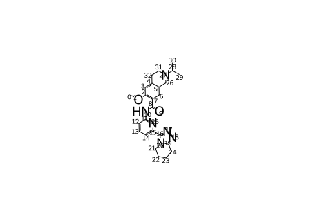 COc1cc2c(cc1C(=O)Nc1cccc(-c3nnc4n3CCCC4)n1)CN(C(C)C)CC2